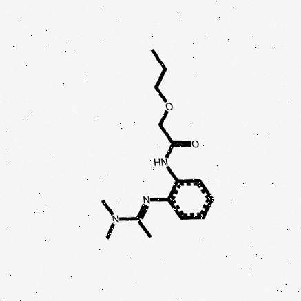 CCCOCC(=O)Nc1ccccc1/N=C(\C)N(C)C